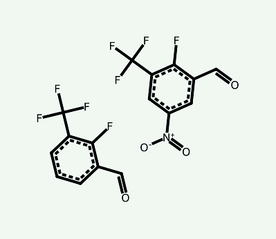 O=Cc1cc([N+](=O)[O-])cc(C(F)(F)F)c1F.O=Cc1cccc(C(F)(F)F)c1F